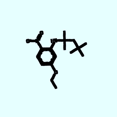 CCOc1ccc([N+](=O)[O-])c(NC(C)(C)CC(C)(C)C)c1